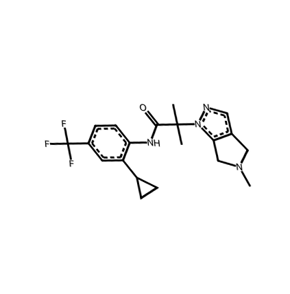 CN1Cc2cnn(C(C)(C)C(=O)Nc3ccc(C(F)(F)F)cc3C3CC3)c2C1